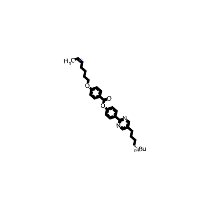 C/C=C\CCCCOc1ccc(C(=O)Oc2ccc(-c3ncc(CCCC[C@@H](C)CC)cn3)cc2)cc1